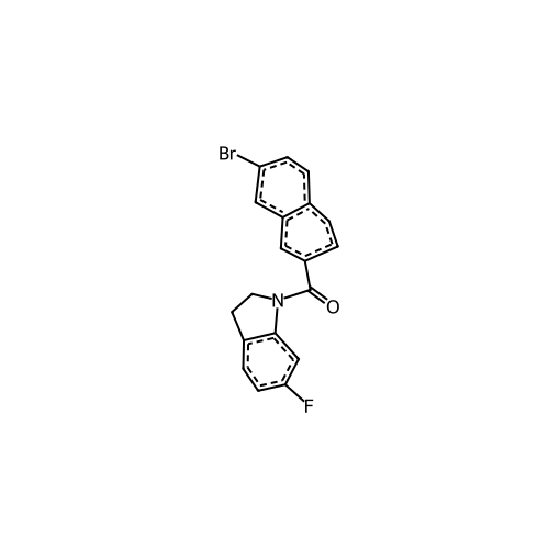 O=C(c1ccc2ccc(Br)cc2c1)N1CCc2ccc(F)cc21